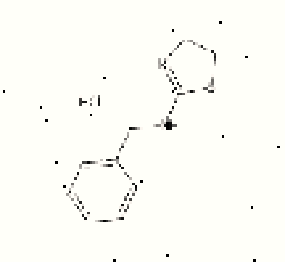 Cl.c1ccc(CNC2=NCCS2)cc1